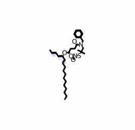 C/C=C/C=C(/C=C/CCCCCCCCCC)OC(=O)CCC(=O)N(Cc1ccccc1)CC(C)(C)SN=O